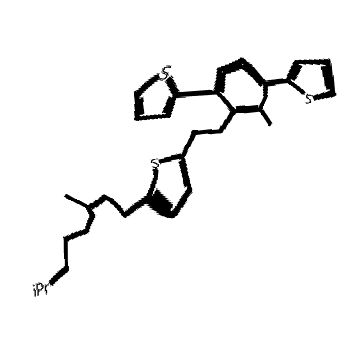 CC1=C(CCc2ccc(CCC(C)CCCC(C)C)s2)C(c2cccs2)=C=C=C1c1cccs1